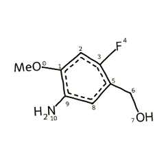 COc1cc(F)c(CO)cc1N